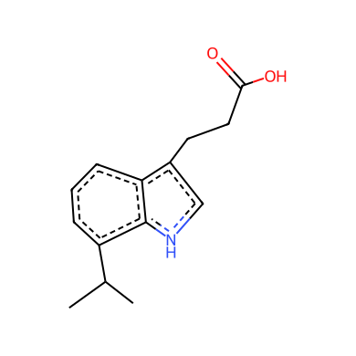 CC(C)c1cccc2c(CCC(=O)O)c[nH]c12